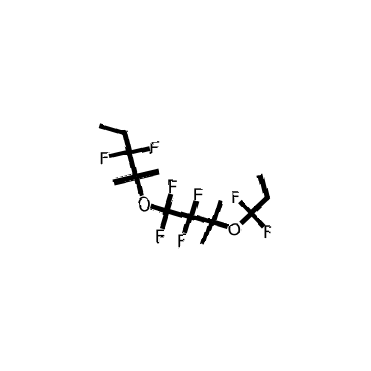 CCC(F)(F)OC(C)(C)C(F)(F)C(F)(F)OC(C)(C)C(F)(F)CC